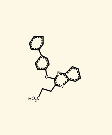 O=C(O)CCc1nc2ccccc2nc1Oc1ccc(-c2ccccc2)cc1